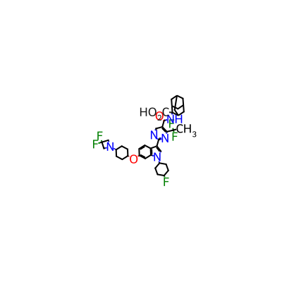 CC(F)(F)c1nc(-c2cn(C3CCC(F)CC3)c3cc(O[C@H]4CC[C@H](N5CC(F)(F)C5)CC4)ccc23)ncc1C(=O)NC1(C(=O)O)C2CC3CC(C2)CC1C3